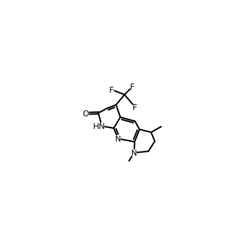 CC1CCN(C)c2nc3[nH]c(=O)cc(C(F)(F)F)c3cc21